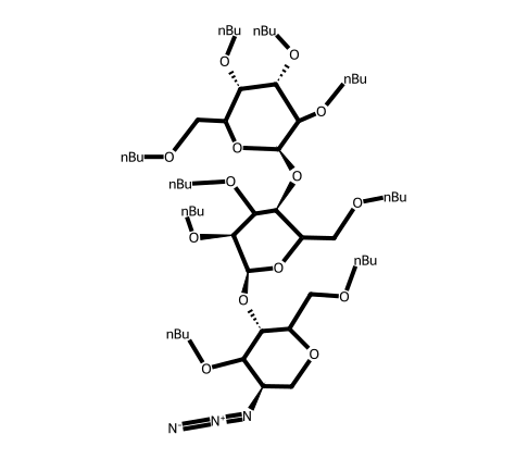 CCCCOCC1OC[C@@H](N=[N+]=[N-])C(OCCCC)[C@@H]1O[C@@H]1OC(COCCCC)[C@H](O[C@H]2OC(COCCCC)[C@H](OCCCC)[C@H](OCCCC)C2OCCCC)C(OCCCC)[C@@H]1OCCCC